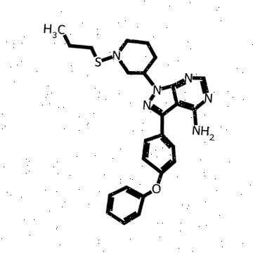 CCCSN1CCCC(n2nc(-c3ccc(Oc4ccccc4)cc3)c3c(N)ncnc32)C1